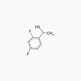 CC(S)c1ccc(F)cc1F